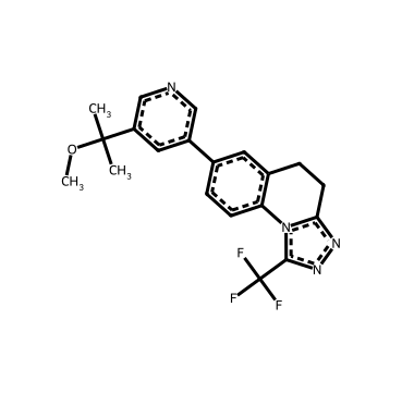 COC(C)(C)c1cncc(-c2ccc3c(c2)CCc2nnc(C(F)(F)F)n2-3)c1